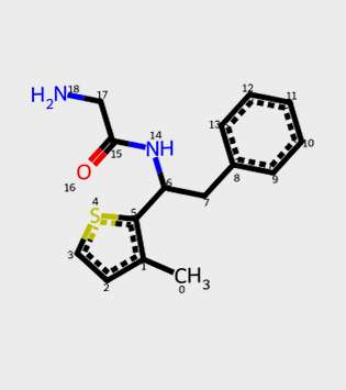 Cc1ccsc1C(Cc1ccccc1)NC(=O)CN